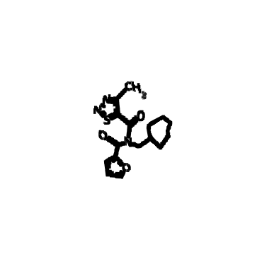 Cc1nnsc1C(=O)N(CC1CCCCC1)C(=O)c1ccco1